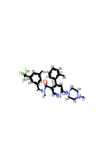 Cc1cc(CN(C)C(=O)c2cnc(N3CCN(C)CC3)cc2-c2ccccc2C)cc(C(F)(F)F)c1